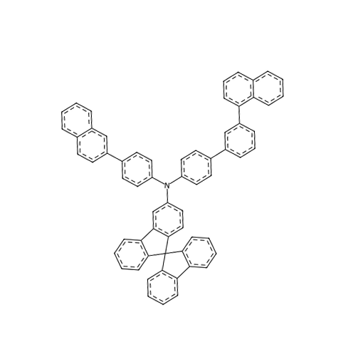 c1cc(-c2ccc(N(c3ccc(-c4ccc5ccccc5c4)cc3)c3ccc4c(c3)-c3ccccc3C43c4ccccc4-c4ccccc43)cc2)cc(-c2cccc3ccccc23)c1